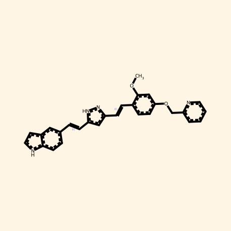 COc1cc(OCc2ccccn2)ccc1/C=C/c1cc(/C=C/c2ccc3[nH]ccc3c2)[nH]n1